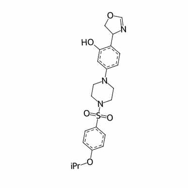 CC(C)Oc1ccc(S(=O)(=O)N2CCN(c3ccc(C4COC=N4)c(O)c3)CC2)cc1